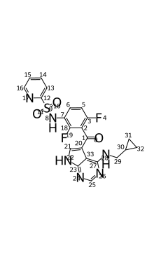 O=C(c1c(F)ccc(NS(=O)(=O)c2ccccn2)c1F)c1c[nH]c2ncnc(NCC3CC3)c12